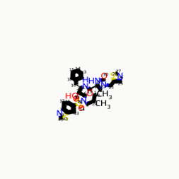 CCC(C)CN(C[C@@H](O)[C@H](Cc1ccccc1)NC(=O)[C@@H]1CN(Cc2cncs2)C(=O)N1)S(=O)(=O)c1ccc2ncsc2c1